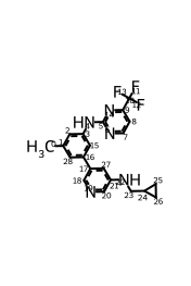 Cc1cc(Nc2nccc(C(F)(F)F)n2)cc(-c2cncc(NCC3CC3)c2)c1